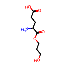 NC(CCC(=O)O)C(=O)OCCCO